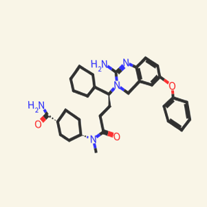 CN(C(=O)CC[C@@H](C1CCCCC1)N1Cc2cc(Oc3ccccc3)ccc2N=C1N)[C@H]1CC[C@@H](C(N)=O)CC1